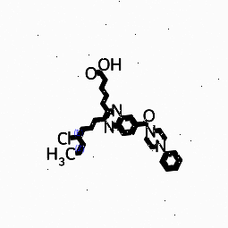 C/C=C\C(Cl)=C/CCc1nc2ccc(C(=O)N3CCN(c4ccccc4)CC3)cc2nc1CCCCC(=O)O